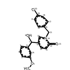 COc1cccc(C(O)c2ccc(=O)n(Cc3ccc(Cl)cc3)c2)c1